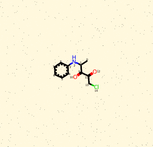 CC(Nc1ccccc1)C(=O)C(=O)CCl